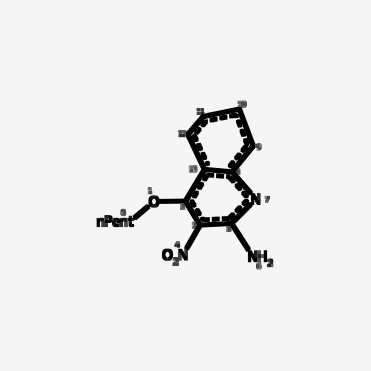 CCCCCOc1c([N+](=O)[O-])c(N)nc2ccccc12